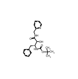 CC(C)(C)OC(=O)N[C@@H](Cc1ccccc1)C(O)C(=O)NCc1ccccn1